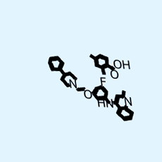 Cc1cc(Nc2cc(F)cc(OCCN3CCC(c4ccccc4)CC3)c2)c2ccccc2n1.Cc1ccc(C(=O)O)c(C)c1